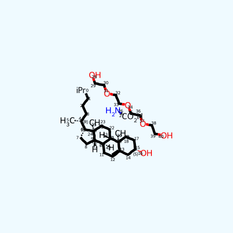 CC(C)CCC[C@@H](C)[C@H]1CC[C@H]2[C@@H]3CC=C4C[C@@H](O)CC[C@]4(C)[C@H]3CC[C@]12C.NC(=O)O.OCCOCCOCCOCCO